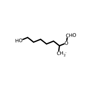 [CH2]C(CCCCCO)OC=O